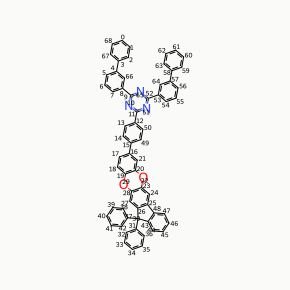 c1ccc(-c2cccc(-c3nc(-c4ccc(-c5ccc6c(c5)Oc5cc7c(cc5O6)C(c5ccccc5)(c5ccccc5)c5ccccc5-7)cc4)nc(-c4cccc(-c5ccccc5)c4)n3)c2)cc1